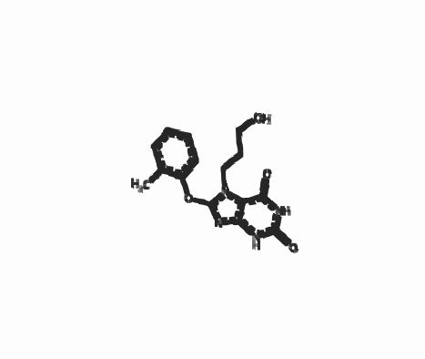 Cc1ccccc1Oc1nc2[nH]c(=O)[nH]c(=O)c2n1CCCO